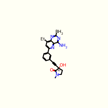 Bc1nc(N)c2nc(-c3cccc(C#C[C@]4(O)CCN(C)C4=O)c3)cc(CC)c2n1